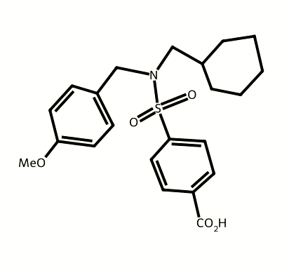 COc1ccc(CN(CC2CCCCC2)S(=O)(=O)c2ccc(C(=O)O)cc2)cc1